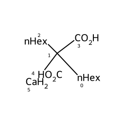 CCCCCCC(CCCCCC)(C(=O)O)C(=O)O.[CaH2]